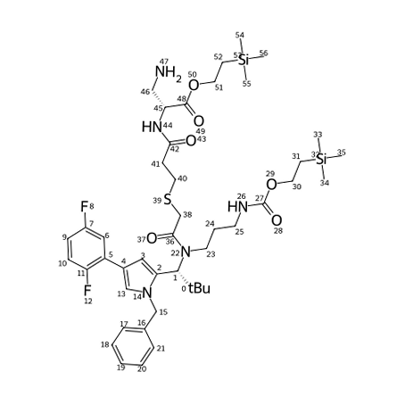 CC(C)(C)[C@H](c1cc(-c2cc(F)ccc2F)cn1Cc1ccccc1)N(CCCNC(=O)OCC[Si](C)(C)C)C(=O)CSCCC(=O)N[C@H](CN)C(=O)OCC[Si](C)(C)C